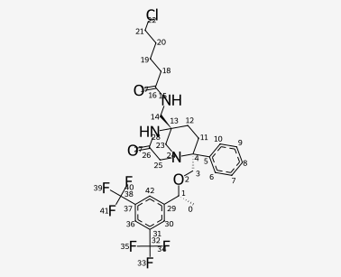 C[C@@H](OC[C@@]1(c2ccccc2)CC[C@]2(CNC(=O)CCCCCl)CN1CC(=O)N2)c1cc(C(F)(F)F)cc(C(F)(F)F)c1